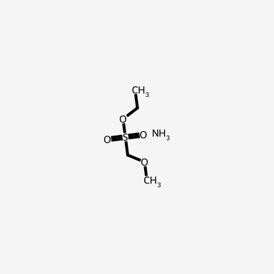 CCOS(=O)(=O)COC.N